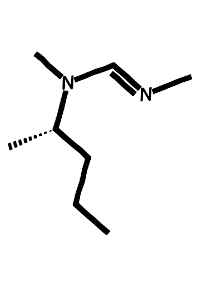 CCC[C@H](C)N(C)/C=N/C